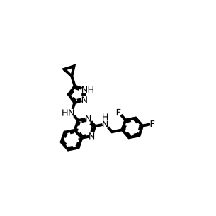 Fc1ccc(CNc2nc(Nc3cc(C4CC4)[nH]n3)c3ccccc3n2)c(F)c1